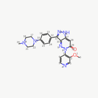 COc1cnccc1-n1nc2c(-c3ccc(N4CCN(C)CC4)cc3)n[nH]c2cc1=O